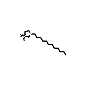 CCCCCCCCCCCCN1CCS(=S)(=S)C1